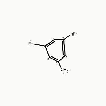 [CH2]c1cc(CC)cc(CCC)c1